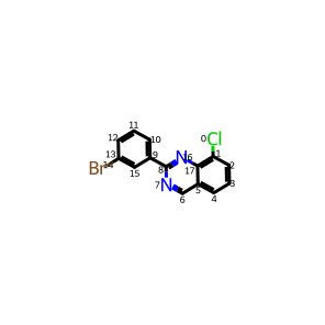 Clc1cccc2cnc(-c3cccc(Br)c3)nc12